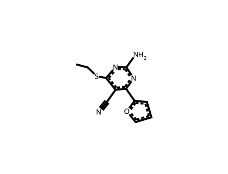 CCSc1nc(N)nc(-c2ccco2)c1C#N